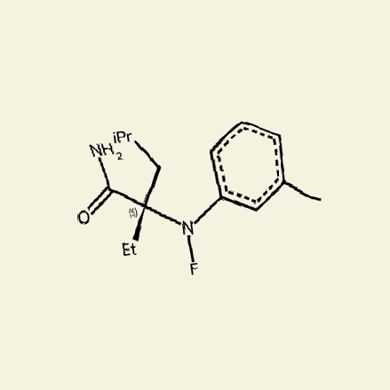 CC[C@](CC(C)C)(C(N)=O)N(F)c1cccc(C)c1